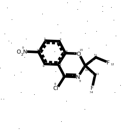 O=[N+]([O-])c1ccc2c(c1)C(Cl)=NC(CF)(CF)O2